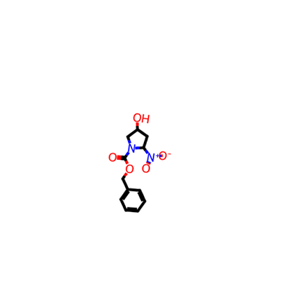 O=C(OCc1ccccc1)N1CC(O)CC1[N+](=O)[O-]